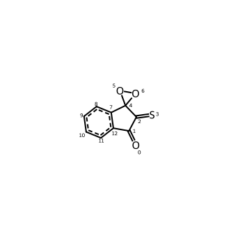 O=C1C(=S)C2(OO2)c2ccccc21